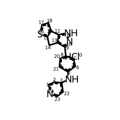 Cl.c1cc(Nc2ccc(-c3n[nH]c4c3Cc3sccc3-4)cc2)ccn1